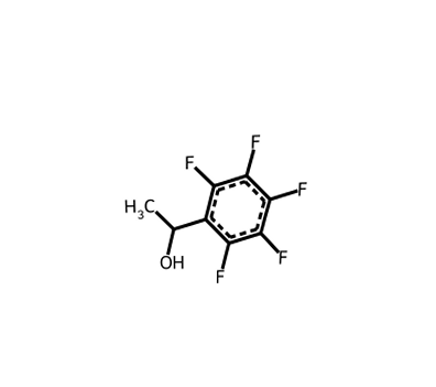 CC(O)c1c(F)c(F)c(F)c(F)c1F